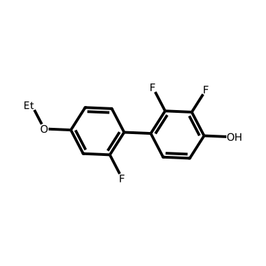 CCOc1ccc(-c2ccc(O)c(F)c2F)c(F)c1